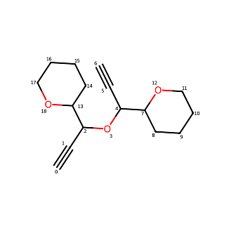 C#CC(OC(C#C)C1CCCCO1)C1CCCCO1